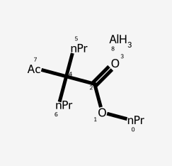 CCCOC(=O)C(CCC)(CCC)C(C)=O.[AlH3]